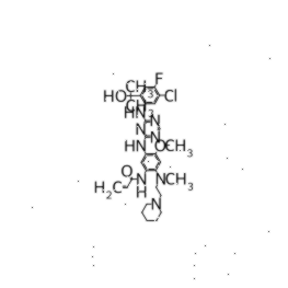 C=CC(=O)Nc1cc(Nc2ncnc(Nc3cc(Cl)c(F)cc3C(C)(C)O)n2)c(OC)cc1N(C)CCN1CCCCC1